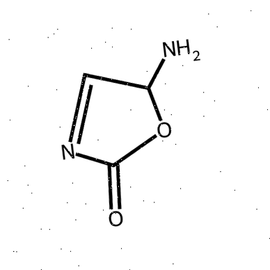 NC1C=NC(=O)O1